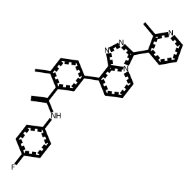 C=C(Nc1ccc(F)cc1)c1cc(-c2cccn3c(-c4cccnc4C)nnc23)ccc1C